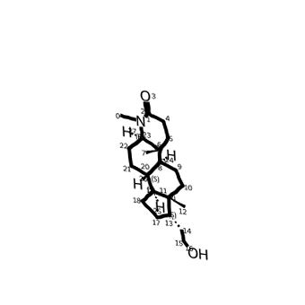 CN1C(=O)CC[C@]2(C)[C@H]3CC[C@]4(C)[C@H](CCO)CC[C@H]4[C@@H]3CC[C@@H]12